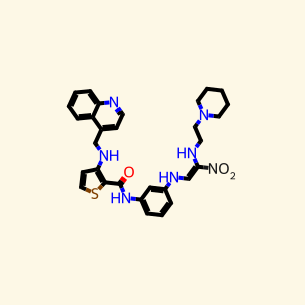 O=C(Nc1cccc(NC=C(NCCN2CCCCC2)[N+](=O)[O-])c1)c1sccc1NCc1ccnc2ccccc12